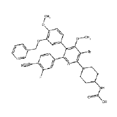 COc1ccc(-c2c(-c3ccc(C#N)c(F)c3)nc(N3CCC(NC(=O)O)CC3)c(Br)c2OC)cc1OCc1ccccc1